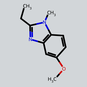 CCc1nc2cc(OC)ccc2n1C